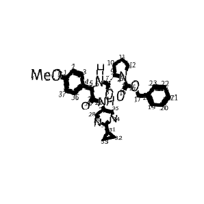 COc1ccc([C@H](NC(=O)[C@@H]2CCCN2C(=O)OCc2ccccc2)C(=O)Nc2cnc(C3CC3)nc2)cc1